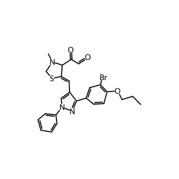 CCCOc1ccc(-c2nn(-c3ccccc3)cc2C=C2SCN(C)C2C(=O)C=O)cc1Br